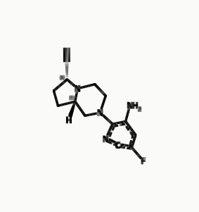 C#C[C@H]1CC[C@H]2CN(c3ncc(F)cc3N)CCN21